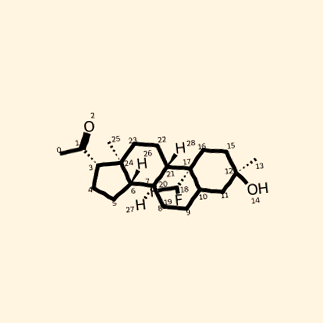 CC(=O)[C@H]1CC[C@H]2[C@@H]3CCC4C[C@](C)(O)CC[C@]4(C(F)F)[C@H]3CC[C@]12C